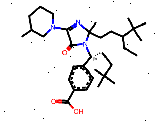 CCC(CCC1(C)N=C(N2CCCC(C)C2)C(=O)N1[C@H](CCC(C)(C)C)c1ccc(C(=O)O)cc1)C(C)(C)C